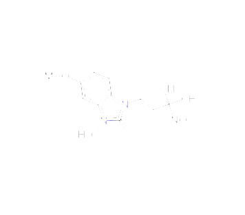 COc1ccc2c(c1)n(C)c(=O)n2CCC(C)(C)[N+](=O)[O-]